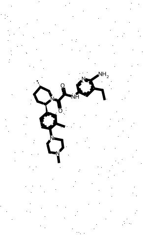 CCc1cc(NC(=O)C(=O)N2C[C@@H](C)CC[C@@H]2c2ccc(N3CCN(C)CC3)c(C)c2)cnc1N